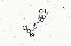 CCCN1CC(CCN2CCC(Cc3cc(Cl)ccc3Br)CC2)OC1=O